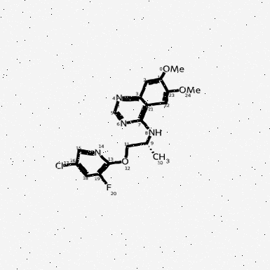 COc1cc2ncnc(N[C@H](C)COc3ncc(Cl)cc3F)c2cc1OC